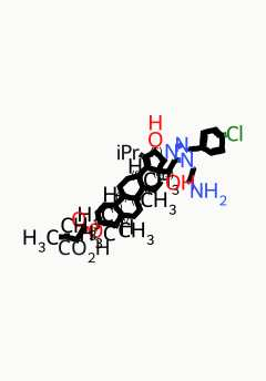 CC(C)C1=C2[C@H]3CC[C@@H]4[C@@]5(C)CC[C@H](OC(=O)CC(C)(C)C(=O)O)C(C)(C)[C@@H]5CC[C@@]4(C)[C@]3(C)CC[C@@]2([C@H](O)c2nnc(-c3ccc(Cl)cc3)n2CCN)C[C@@H]1O